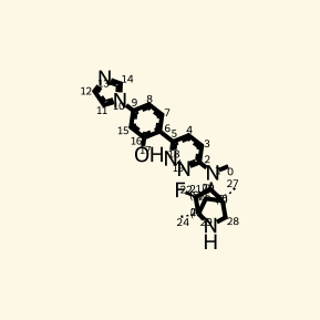 CN(c1ccc(-c2ccc(-n3ccnc3)cc2O)nn1)[C@H]1[C@H](F)[C@@]2(C)C[C@]1(C)CN2